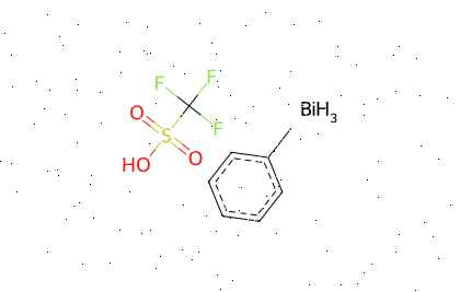 Cc1ccccc1.O=S(=O)(O)C(F)(F)F.[BiH3]